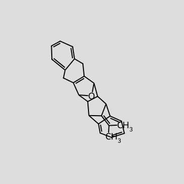 CC(C)=C1C2c3ccccc3C1C1C3OC(C4=C3Cc3ccccc3C4)C21